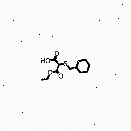 CCOC(=O)C(SCC1CCCCC1)C(=O)O